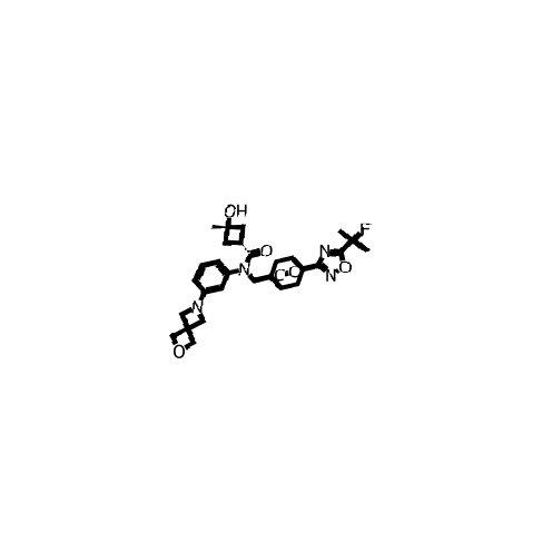 CC(C)(F)c1nc(C23CCC(CN(c4cccc(N5CC6(COC6)C5)c4)C(=O)[C@H]4C[C@@](C)(O)C4)(CC2)CC3)no1